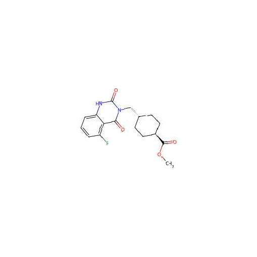 COC(=O)[C@H]1CC[C@H](Cn2c(=O)[nH]c3cccc(F)c3c2=O)CC1